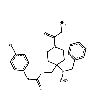 CCc1ccc(NC(=O)OCC2(N(C=O)Cc3ccccc3)CCN(C(=O)CN)CC2)cc1